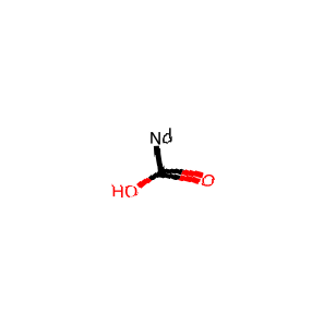 O=[C](O)[Nd]